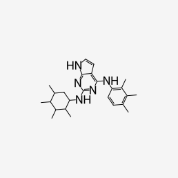 Cc1ccc(Nc2nc(NC3CC(C)C(C)C(C)C3C)nc3[nH]ccc23)c(C)c1C